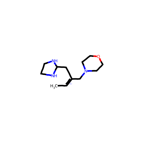 C/C=C(\CC1NCCN1)CN1CCOCC1